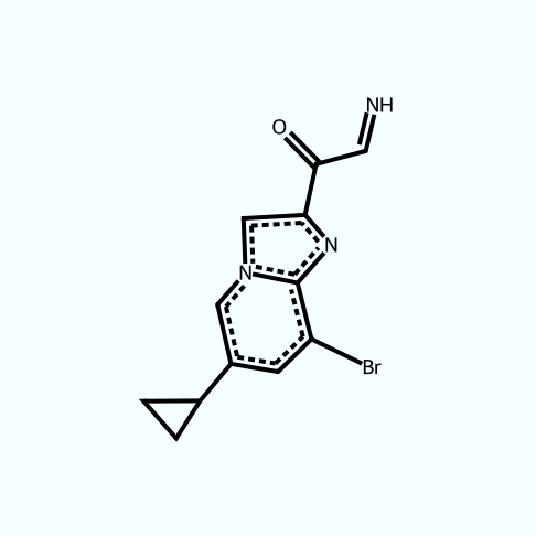 N=CC(=O)c1cn2cc(C3CC3)cc(Br)c2n1